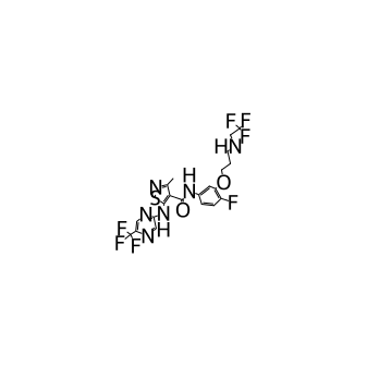 Cc1nsc(Nc2cnc(C(F)(F)F)cn2)c1C(=O)Nc1ccc(F)c(OCCCNCC(F)(F)F)c1